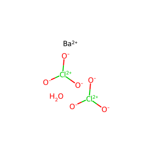 O.[Ba+2].[O-][Cl+2]([O-])[O-].[O-][Cl+2]([O-])[O-]